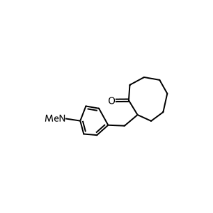 CNc1ccc(CC2CCCCCCC2=O)cc1